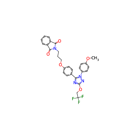 COc1ccc(-n2nc(OCC(F)(F)F)nc2-c2ccc(OCCCN3C(=O)c4ccccc4C3=O)cc2)cc1